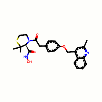 Cc1cc(COc2ccc(CC(=O)N3CCSC(C)(C)[C@@H]3C(=O)NO)cc2)c2ccccc2n1